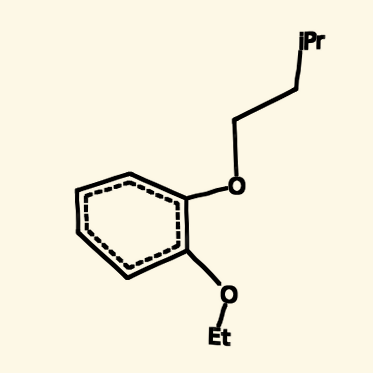 CCOc1ccccc1OCCC(C)C